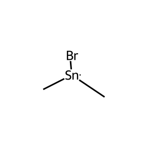 [CH3][Sn]([CH3])[Br]